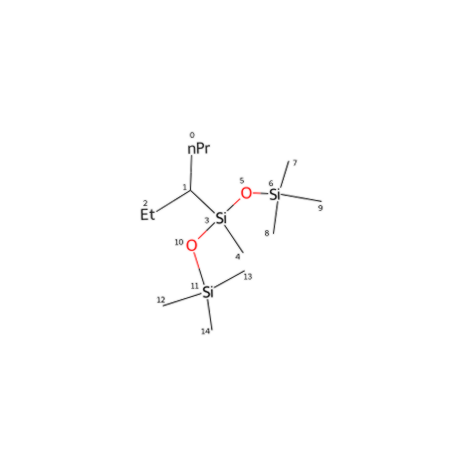 CCCC(CC)[Si](C)(O[Si](C)(C)C)O[Si](C)(C)C